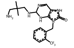 CC(C)(CN)CNC1N=Cc2[nH]c(=O)n(Cc3ccccc3C(F)(F)F)c2N1